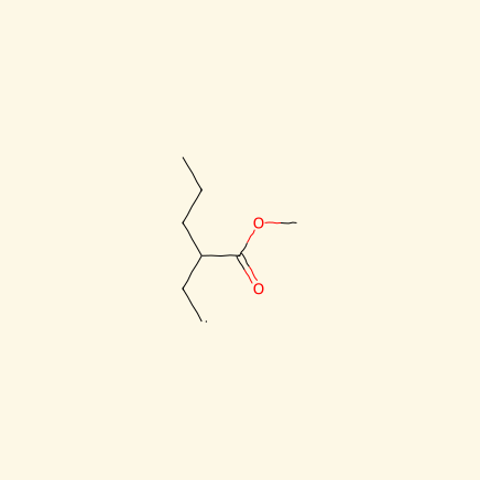 [CH2]CC(CCC)C(=O)OC